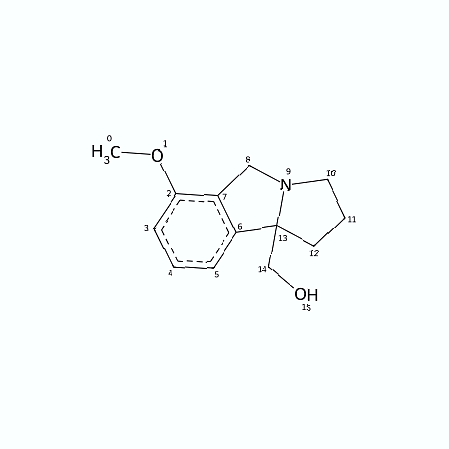 COc1cccc2c1CN1CCCC21CO